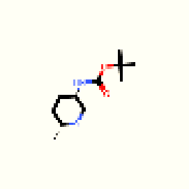 C[C@@H]1CC[C@H](NC(=O)OC(C)(C)C)CN1